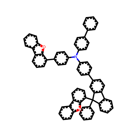 c1ccc(-c2ccc(N(c3ccc(-c4ccc5c(c4)C(c4ccccc4)(c4cccc6c4oc4ccccc46)c4ccccc4-5)cc3)c3ccc(-c4cccc5c4oc4ccccc45)cc3)cc2)cc1